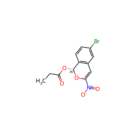 CCC(=O)O[C@H]1OC([N+](=O)[O-])=Cc2cc(Br)ccc21